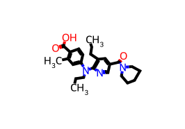 CCCc1cc(C(=O)N2CCCCC2)cnc1N(CCC)c1ccc(C(=O)O)c(C)c1